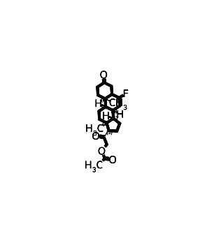 CC(=O)OCC(=O)[C@H]1CC[C@H]2[C@@H]3CC(F)C4CC(=O)CC[C@]4(C)[C@H]3CC[C@]12C